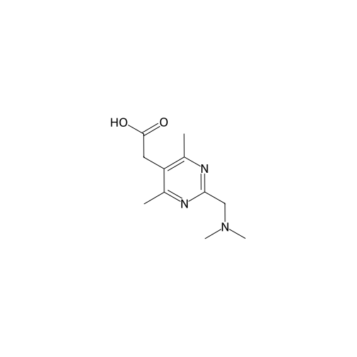 Cc1nc(CN(C)C)nc(C)c1CC(=O)O